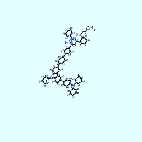 CCCCCN1C(c2ccccc2)CC(c2ccc(-c3ccc(-c4ccc5c(c4)c4cc(-c6ccc(N(c7ccccc7)c7ccccc7)cc6)ccc4n5-c4ccccc4)cc3)cc2)NC1c1ccccc1